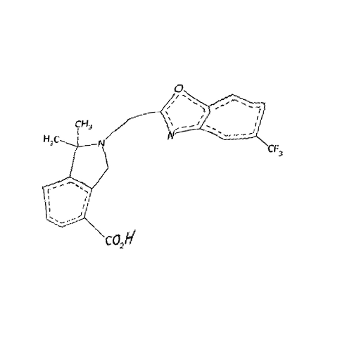 CC1(C)c2cccc(C(=O)O)c2CN1Cc1nc2cc(C(F)(F)F)ccc2o1